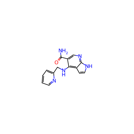 NC(=O)c1cnc2[nH]ccc2c1NCc1ccccn1